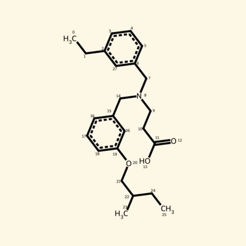 CCc1cccc(CN(CCC(=O)O)Cc2cccc(OCC(C)CC)c2)c1